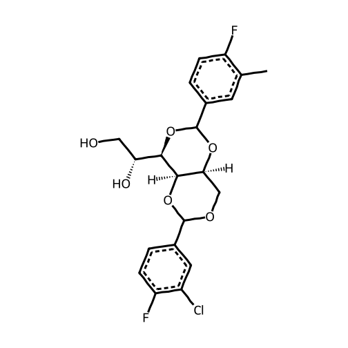 Cc1cc(C2O[C@H]([C@H](O)CO)[C@@H]3OC(c4ccc(F)c(Cl)c4)OC[C@@H]3O2)ccc1F